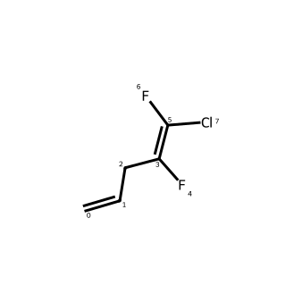 C=CC/C(F)=C(\F)Cl